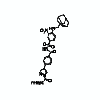 CCCCCCCC(=O)n1cc(-c2ccc(C(=O)NS(=O)(=O)c3ccc(NCC45CC6CC(CC(C6)C4)C5)c([N+](=O)[O-])c3)cc2)cn1